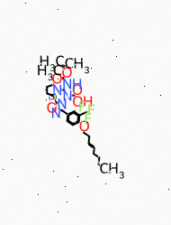 CCCCC=CCCOc1ccc(-c2noc([C@@H]3CCCN3C(=NC(=O)O)NC(=O)OC(C)(C)C)n2)cc1C(F)(F)F